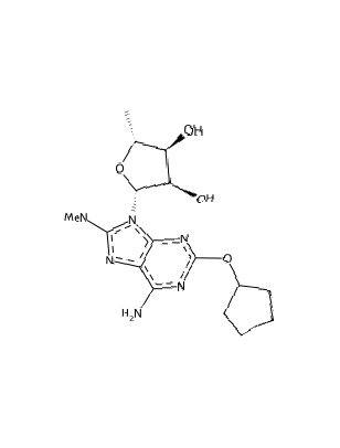 CNc1nc2c(N)nc(OC3CCCC3)nc2n1[C@@H]1O[C@H](C)[C@@H](O)[C@H]1O